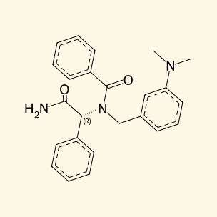 CN(C)c1cccc(CN(C(=O)c2ccccc2)[C@@H](C(N)=O)c2ccccc2)c1